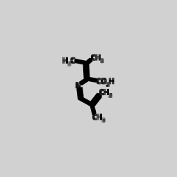 C=C(C)/C=N\C(C(=O)O)=C(C)C